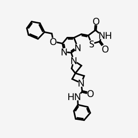 O=C1NC(=O)C(=Cc2cc(OCc3ccccc3)nc(N3CC4(CN(C(=O)Nc5ccccc5)C4)C3)n2)S1